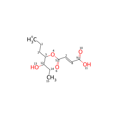 CCCC(OC(=O)C=CC(=O)O)C(O)CC